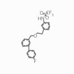 O=S(=O)(Nc1cccc(CCOCc2cccc(-c3ccc(F)cc3)c2)c1)C(F)(F)F